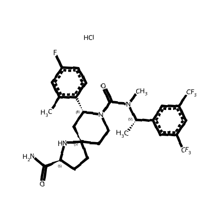 Cc1cc(F)ccc1[C@H]1C[C@]2(CC[C@@H](C(N)=O)N2)CCN1C(=O)N(C)[C@@H](C)c1cc(C(F)(F)F)cc(C(F)(F)F)c1.Cl